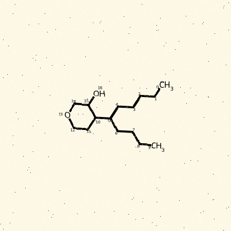 CCCCCC(CCCC)C1CCOCC1O